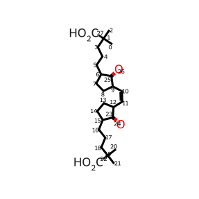 CC(C)(CCCC1CCC(/C=C\C2CCC(CCCC(C)(C)C(=O)O)C2=O)C1=O)C(=O)O